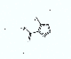 NC(=O)c1occc1S(=O)(=O)O